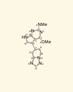 CNc1nc(OC)c2c(-c3ccn4ncnc4c3)c[nH]c2n1